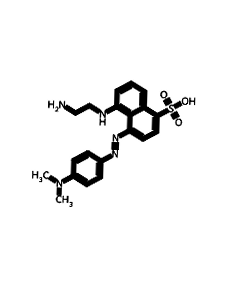 CN(C)c1ccc(N=Nc2ccc(S(=O)(=O)O)c3cccc(NCCN)c23)cc1